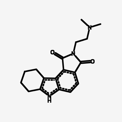 CN(C)CCN1C(=O)c2ccc3[nH]c4c(c3c2C1=O)CCCC4